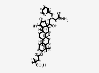 CC(C)C1=C2[C@H]3CC[C@@H]4[C@@]5(C)CC[C@H](OC(=O)CC(C)(C)C(=O)O)C(C)(C)[C@@H]5CC[C@@]4(C)[C@]3(C)CCC2(C(O)CN(CC(N)=O)Cc2ccccn2)CC1=O